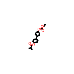 C=COC(=O)Oc1ccc(-c2ccc(OC(=O)C(=C)C)cc2)cc1